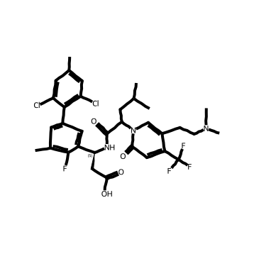 Cc1cc(Cl)c(-c2cc(C)c(F)c([C@H](CC(=O)O)NC(=O)C(CC(C)C)n3cc(CCN(C)C)c(C(F)(F)F)cc3=O)c2)c(Cl)c1